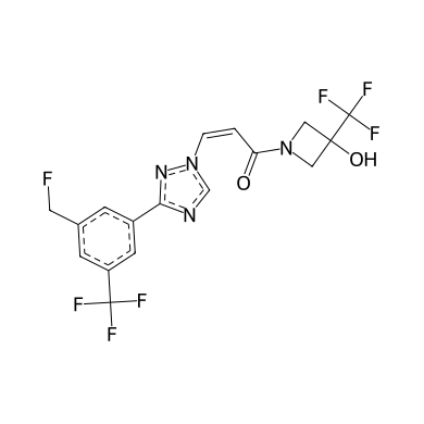 O=C(/C=C\n1cnc(-c2cc(CF)cc(C(F)(F)F)c2)n1)N1CC(O)(C(F)(F)F)C1